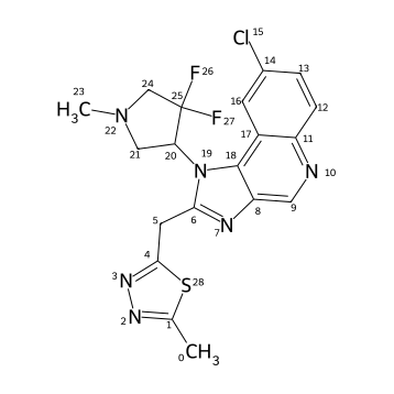 Cc1nnc(Cc2nc3cnc4ccc(Cl)cc4c3n2C2CN(C)CC2(F)F)s1